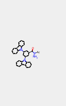 CC(=O)N(N)C(=O)c1cc(-n2c3ccccc3c3ccccc32)cc(-n2c3ccccc3c3ccccc32)c1